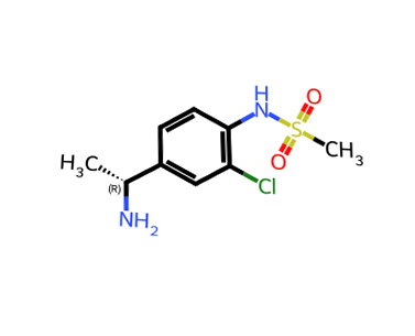 C[C@@H](N)c1ccc(NS(C)(=O)=O)c(Cl)c1